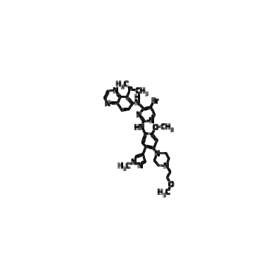 COCCN1CCN(c2cc(OC)c(Nc3ncc(Br)c(Nc4ccc5nccnc5c4P(C)C)n3)cc2-c2cnn(C)c2)CC1